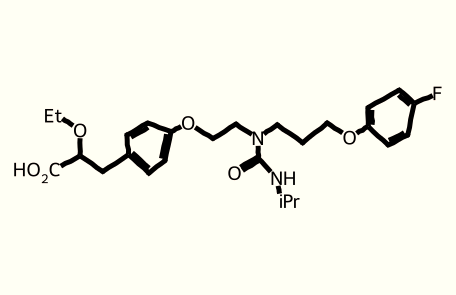 CCOC(Cc1ccc(OCCN(CCCOc2ccc(F)cc2)C(=O)NC(C)C)cc1)C(=O)O